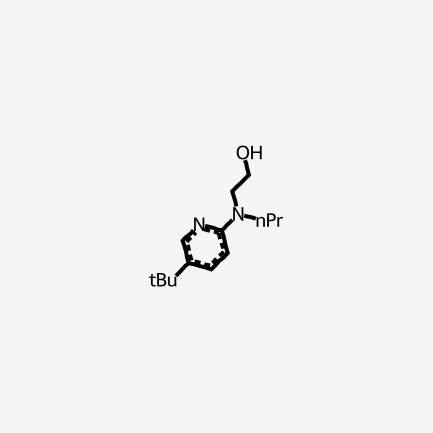 CCCN(CCO)c1ccc(C(C)(C)C)cn1